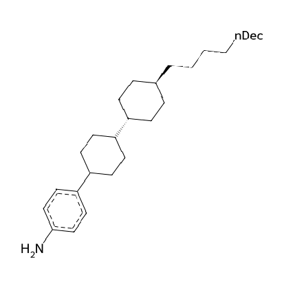 CCCCCCCCCCCCCC[C@H]1CC[C@H](C2CCC(c3ccc(N)cc3)CC2)CC1